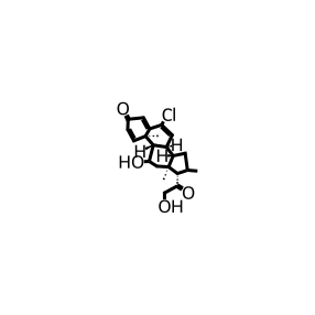 CC1C[C@H]2[C@@H]3C=C(Cl)C4=CC(=O)C=C[C@]4(C)[C@H]3C(O)C[C@]2(C)[C@H]1C(=O)CO